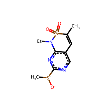 CCN1c2nc([S+](C)[O-])ncc2C=C(C)S1(=O)=O